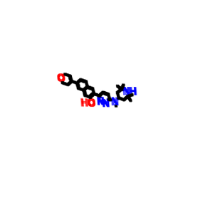 CN(c1ccc(-c2cc3ccc(C4=CCOCC4)cc3cc2O)nn1)C1CC(C)(C)NC(C)(C)C1